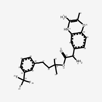 CC1=C(N)Nc2cc(C(N)C(=O)OC(C)(C)CCc3cccc(C(F)(F)F)c3)ccc2O1